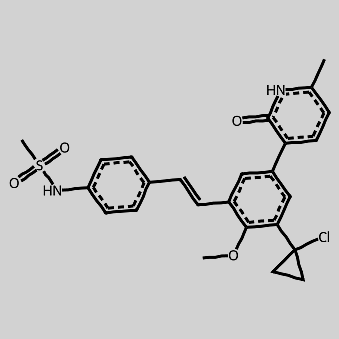 COc1c(C=Cc2ccc(NS(C)(=O)=O)cc2)cc(-c2ccc(C)[nH]c2=O)cc1C1(Cl)CC1